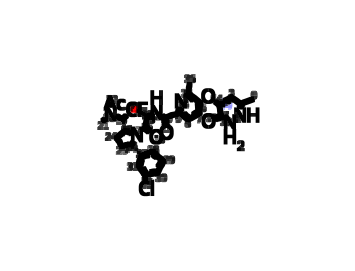 CC(=N)/C=C(/Oc1ccc(C(=O)N[C@H](C)C(=O)N2[C@@H](C(N(C)C(C)=O)C(F)(F)F)CC[C@H]2c2cccc(Cl)c2)nc1C)C(N)=O